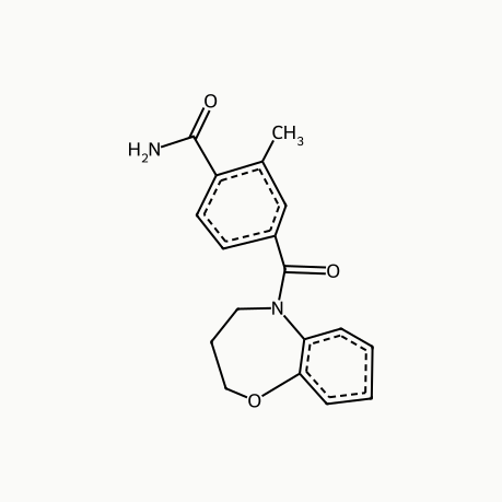 Cc1cc(C(=O)N2CCCOc3ccccc32)ccc1C(N)=O